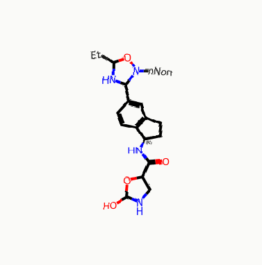 CCCCCCCCCN1OC(CC)NC1c1ccc2c(c1)CC[C@H]2NC(=O)C1CNC(O)O1